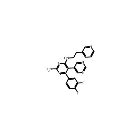 Nc1nc(NCCc2cccnc2)c(-c2cncnc2)c(-c2ccc(F)c(Cl)c2)n1